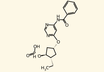 CC[C@H]1C[C@@H](Oc2cc(NC(=O)c3ccccc3)ncn2)C[C@@H]1O[PH](=O)O